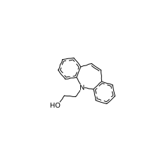 OCCN1c2ccccc2C=Cc2ccccc21